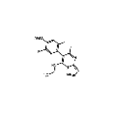 COc1cc(F)c(-c2c(C)nc3ncnn3c2NCC(F)(F)F)cc1F